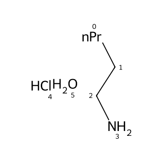 CCCCCN.Cl.O